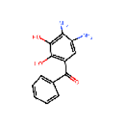 Nc1cc(C(=O)c2ccccc2)c(O)c(O)c1N